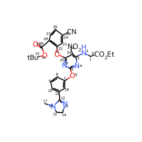 CCOC(=O)CNc1nc(Oc2cccc(C3=NCCN3C)c2)nc(Oc2cc(C#N)ccc2C(=O)OC(C)(C)C)c1[N+](=O)[O-]